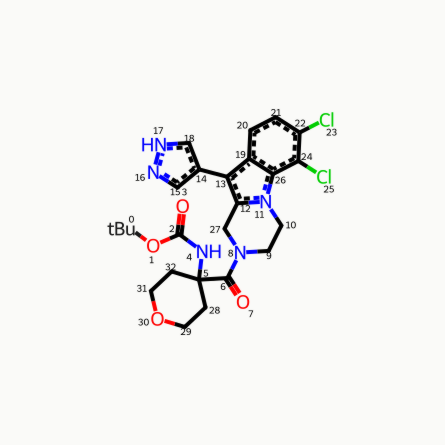 CC(C)(C)OC(=O)NC1(C(=O)N2CCn3c(c(-c4cn[nH]c4)c4ccc(Cl)c(Cl)c43)C2)CCOCC1